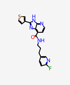 O=C(NCCCc1ccc(F)nc1)c1ccnc2[nH]c(-c3ccsc3)nc12